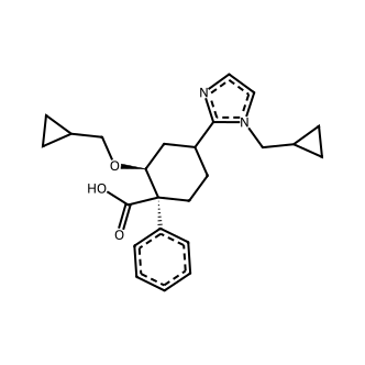 O=C(O)[C@]1(c2ccccc2)CCC(c2nccn2CC2CC2)C[C@@H]1OCC1CC1